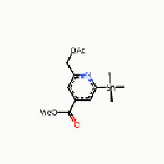 COC(=O)c1cc(COC(C)=O)n[c]([Sn]([CH3])([CH3])[CH3])c1